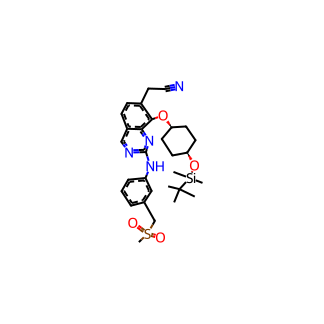 CC(C)(C)[Si](C)(C)O[C@H]1CC[C@@H](Oc2c(CC#N)ccc3cnc(Nc4cccc(CS(C)(=O)=O)c4)nc23)CC1